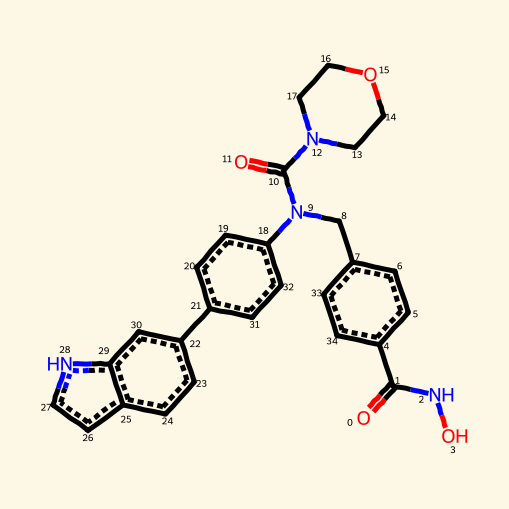 O=C(NO)c1ccc(CN(C(=O)N2CCOCC2)c2ccc(-c3ccc4cc[nH]c4c3)cc2)cc1